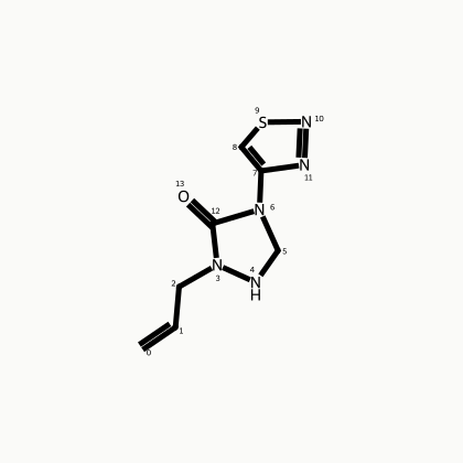 C=CCN1NCN(c2csnn2)C1=O